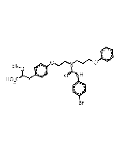 CCOC(Cc1ccc(OCCN(CCCOc2ccccc2)C(=O)Nc2ccc(Br)cc2)cc1)C(=O)O